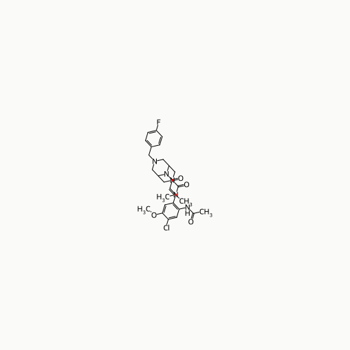 COc1cc(C=CC(=O)N2C3CN(Cc4ccc(F)cc4)CC2CN(C(=O)N(C)C)C3)c(NC(C)=O)cc1Cl